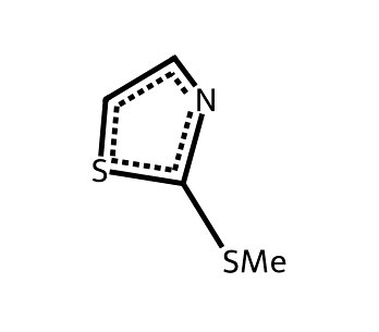 [CH2]Sc1nccs1